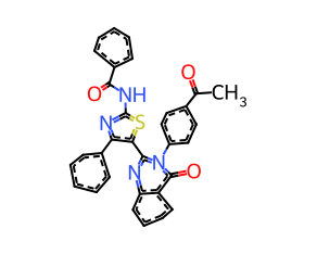 CC(=O)c1ccc(-n2c(-c3sc(NC(=O)c4ccccc4)nc3-c3ccccc3)nc3ccccc3c2=O)cc1